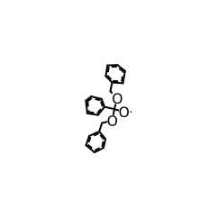 [O]C(OCc1ccccc1)(OCc1ccccc1)c1ccccc1